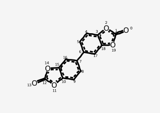 O=c1oc2ccc(-c3ccc4oc(=O)oc4c3)cc2o1